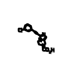 O=C(O)N1CCn2c(cnc2C#Cc2cccc(Cl)c2)C1